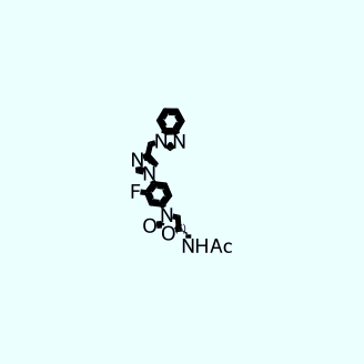 CC(=O)NC[C@H]1CN(c2ccc(-n3cnc(Cn4cnc5ccccc54)c3)c(F)c2)C(=O)O1